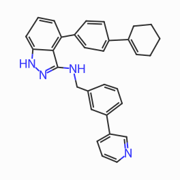 C1=C(c2ccc(-c3cccc4[nH]nc(NCc5cccc(-c6cccnc6)c5)c34)cc2)CCCC1